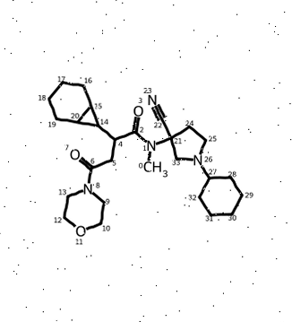 CN(C(=O)C(CC(=O)N1CCOCC1)C1C2CCCCC21)C1(C#N)CCN(C2CCCCC2)C1